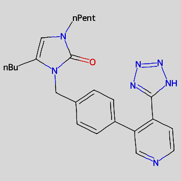 CCCCCn1cc(CCCC)n(Cc2ccc(-c3cnccc3-c3nnn[nH]3)cc2)c1=O